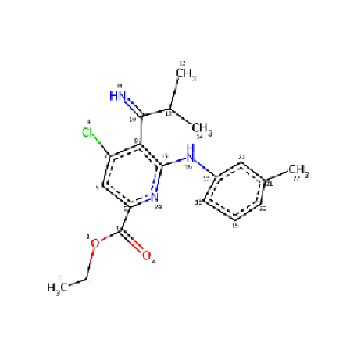 CCOC(=O)c1cc(Cl)c(C(=N)C(C)C)c(Nc2cccc(C)c2)n1